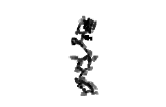 O=C(Nc1cc[nH]n1)c1ccc(-c2cccs2)cc1